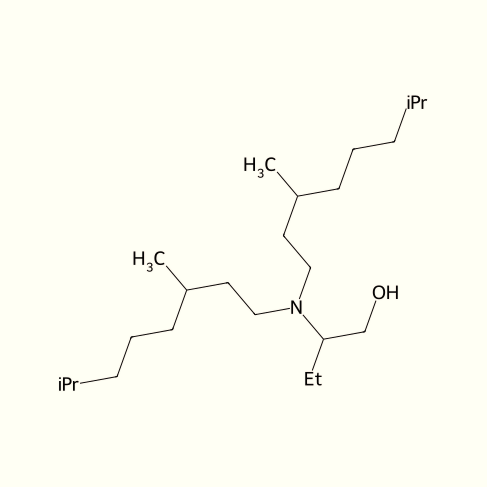 CCC(CO)N(CCC(C)CCCC(C)C)CCC(C)CCCC(C)C